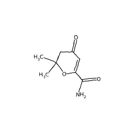 CC1(C)CC(=O)C=C(C(N)=O)O1